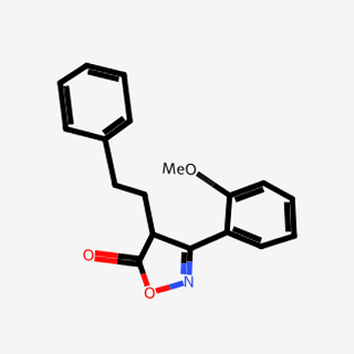 COc1ccccc1C1=NOC(=O)C1CCc1ccccc1